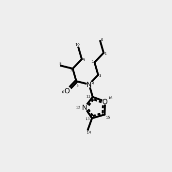 CCCCN(C(=O)C(C)CC)c1nc(C)co1